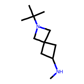 CNC1CC2(C1)CN(C(C)(C)C)C2